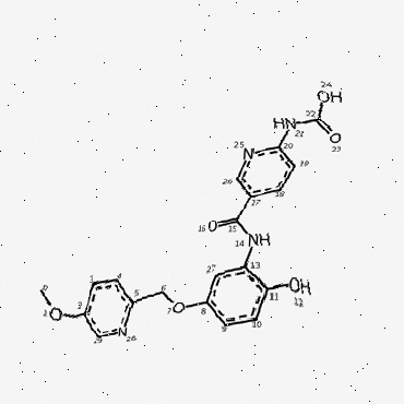 COc1ccc(COc2ccc(O)c(NC(=O)c3ccc(NC(=O)O)nc3)c2)nc1